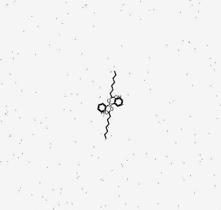 CCCCCCCC(O)O[Si](OC(O)CCCCCCC)(c1ccccc1)c1ccccc1